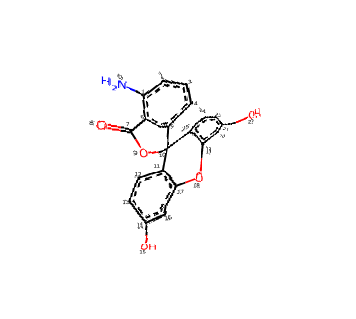 Nc1cccc2c1C(=O)OC21c2ccc(O)cc2Oc2cc(O)ccc21